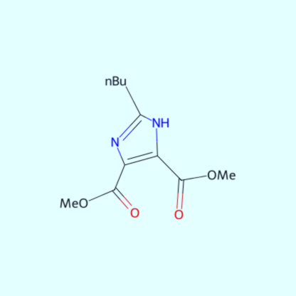 CCCCc1nc(C(=O)OC)c(C(=O)OC)[nH]1